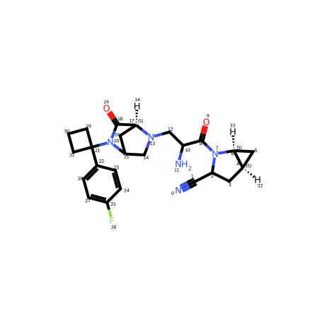 N#CC1C[C@@H]2C[C@@H]2N1C(=O)C(N)CN1CC2C[C@H]1C(=O)N2C1(c2ccc(F)cc2)CCC1